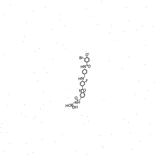 COc1ccc(C(=O)Nc2ccc(CNc3ccc(-c4nc5cc(CC(=O)NCB(O)O)ccc5o4)cc3F)cc2)cc1Br